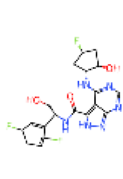 O=C(N[C@H](CO)C1=CC(F)CC=C1F)c1[nH]nc2ncnc(N[C@@H]3C[C@@H](F)C[C@H]3O)c12